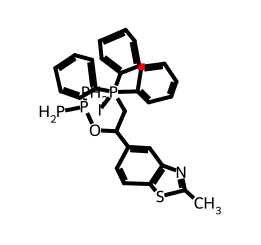 Cc1nc2cc(C(CP(I)(c3ccccc3)(c3ccccc3)c3ccccc3)OP(P)P)ccc2s1